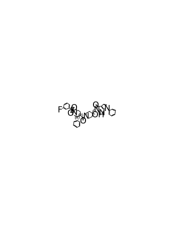 O=C([C@@H]1CCN(S(=O)(=O)c2cccc(F)c2)C[C@H]1c1ccccc1)N1CCC(O)(Cn2cnc3c(ccn3-c3ccccc3)c2=O)CC1